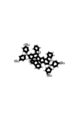 CC(C)(C)c1ccc(N(c2ccc(C(C)(C)C)cc2)c2ccc3c4c(c5oc6ccccc6c5c3c2)-c2cc3c(cc2C42c4ccccc4-c4ccccc42)cc(N(c2ccc(C(C)(C)C)cc2)c2ccc(C(C)(C)C)cc2)c2oc4ccccc4c23)cc1